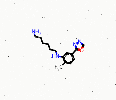 NCCCCCCNc1cc(-c2nnco2)ccc1C(F)(F)F